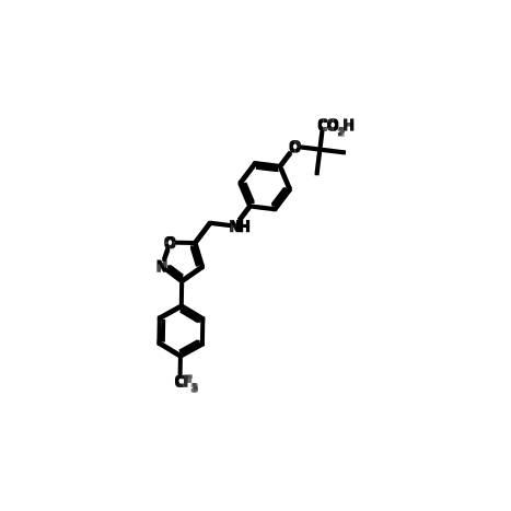 CC(C)(Oc1ccc(NCc2cc(-c3ccc(C(F)(F)F)cc3)no2)cc1)C(=O)O